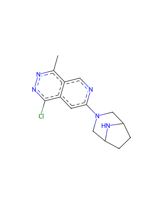 Cc1nnc(Cl)c2cc(N3CC4CCC(C3)N4)ncc12